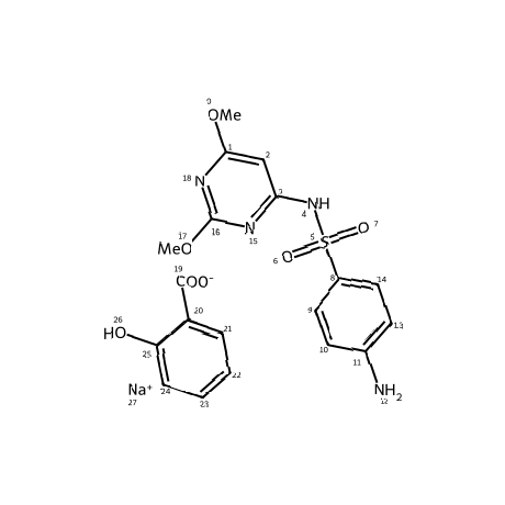 COc1cc(NS(=O)(=O)c2ccc(N)cc2)nc(OC)n1.O=C([O-])c1ccccc1O.[Na+]